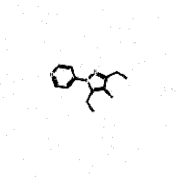 CCc1nn(-c2ccncc2)c(CC)c1C